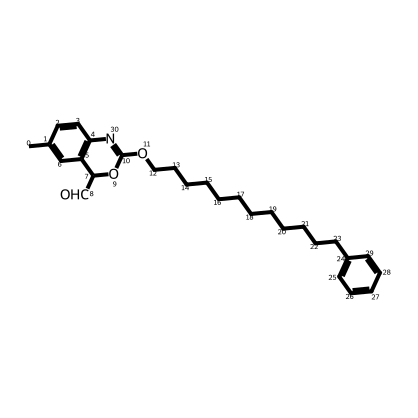 Cc1ccc2c(c1)C(C=O)OC(OCCCCCCCCCCCCc1ccccc1)=N2